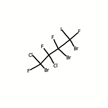 FC(Cl)(Br)C(F)(Cl)C(F)(Br)C(F)(Br)I